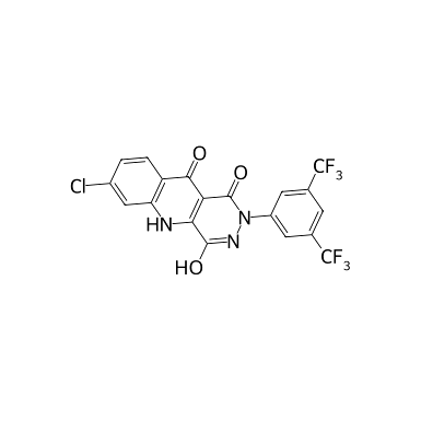 O=c1c2ccc(Cl)cc2[nH]c2c(O)nn(-c3cc(C(F)(F)F)cc(C(F)(F)F)c3)c(=O)c12